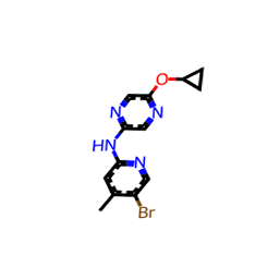 Cc1cc(Nc2cnc(OC3CC3)cn2)ncc1Br